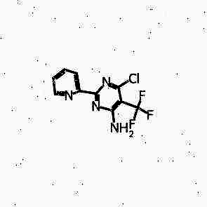 Nc1nc(-c2ccccn2)nc(Cl)c1C(F)(F)F